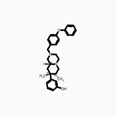 C[C@H]1CN2CCN(Cc3ccc(Oc4ccccc4)cc3)C[C@H]2C[C@@]1(C)c1cccc(O)c1